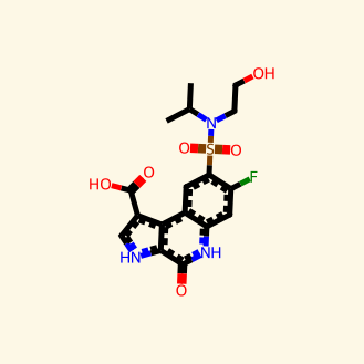 CC(C)N(CCO)S(=O)(=O)c1cc2c(cc1F)[nH]c(=O)c1[nH]cc(C(=O)O)c12